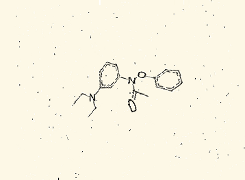 CCN(CC)c1cccc(N(Oc2ccccc2)C(C)=O)c1